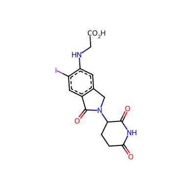 O=C(O)CNc1cc2c(cc1I)C(=O)N(C1CCC(=O)NC1=O)C2